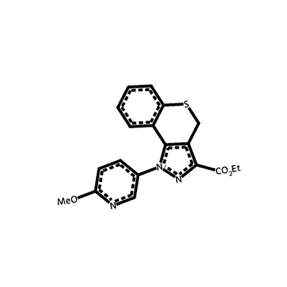 CCOC(=O)c1nn(-c2ccc(OC)nc2)c2c1CSc1ccccc1-2